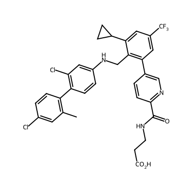 Cc1cc(Cl)ccc1-c1ccc(NCc2c(-c3ccc(C(=O)NCCC(=O)O)nc3)cc(C(F)(F)F)cc2C2CC2)cc1Cl